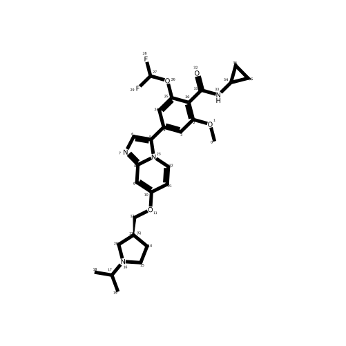 COc1cc(-c2cnc3cc(OC[C@H]4CCN(C(C)C)C4)ccn23)cc(OC(F)F)c1C(=O)NC1CC1